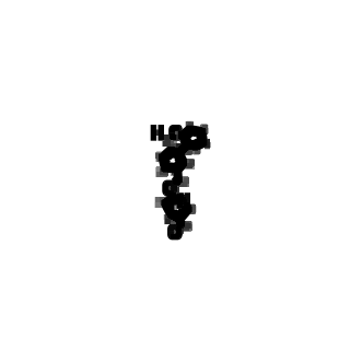 Cc1ccccc1-c1cccc(COc2ccc(C=O)cn2)c1